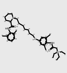 CC[N+](CC)(CC)CC(=O)Nc1c(C)cc(OCCCCCCCN2CCCCC2C(=O)Nc2c(C)cccc2C)cc1C